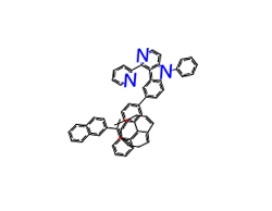 C/C(c1ccc2ccccc2c1)=c1/cccc/c1=C(C1=C/C/C=C\C=C/C\C=C/1)/c1cc(-c2ccc3c(c2)c2c(-c4ccccn4)nccc2n3-c2ccccc2)ccc1C